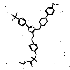 CCOC(=O)C(C)(C)Oc1ccc(SCc2sc(-c3ccc(C(F)(F)F)cc3)nc2CN2CCN(c3ccc(OC)cc3)CC2)cc1